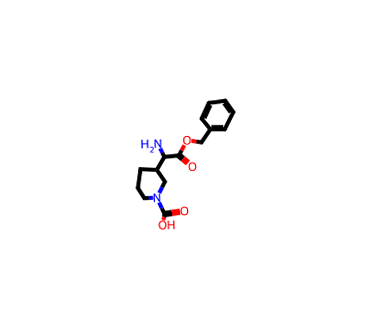 NC(C(=O)OCc1ccccc1)C1CCCN(C(=O)O)C1